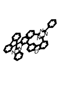 c1ccc(-c2nc(-c3ccccc3)nc(-c3cccc4oc5ccc(-c6cccc7c6-n6c(nc8ccccc86)C76c7ccccc7-c7ccccc76)cc5c34)n2)cc1